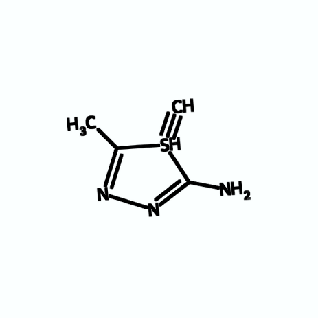 C#[SH]1C(C)=NN=C1N